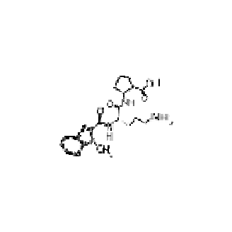 Cn1c(C(=O)N[C@@H](CCCN)C(=O)N[C@H]2CCC[C@H]2C(=O)O)cc2ccccc21